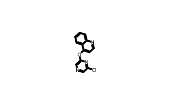 Clc1cncc(Oc2ccnc3ccccc23)n1